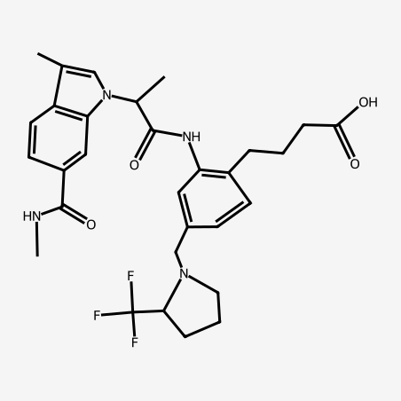 CNC(=O)c1ccc2c(C)cn(C(C)C(=O)Nc3cc(CN4CCCC4C(F)(F)F)ccc3CCCC(=O)O)c2c1